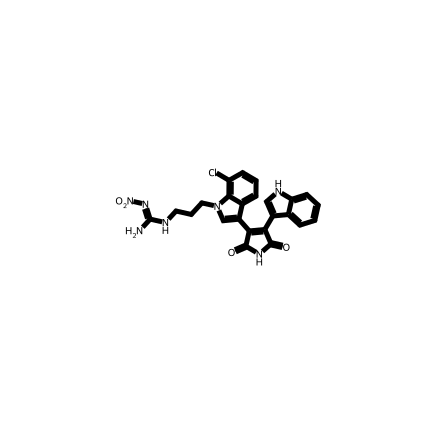 NC(=N[N+](=O)[O-])NCCCn1cc(C2=C(c3c[nH]c4ccccc34)C(=O)NC2=O)c2cccc(Cl)c21